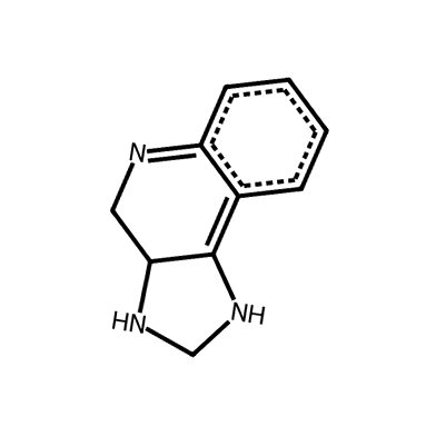 c1ccc2c(c1)=NCC1NCNC=21